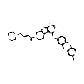 Cc1ccc(Oc2ccc(Nc3ncnc4sc5c(c34)CCN(C(=O)/C=C/CN3CCOC[C@@H]3C)C5)cc2C)cn1